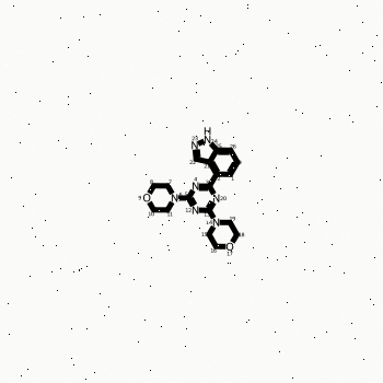 c1cc(-c2nc(N3CCOCC3)nc(N3CCOCC3)n2)c2cn[nH]c2c1